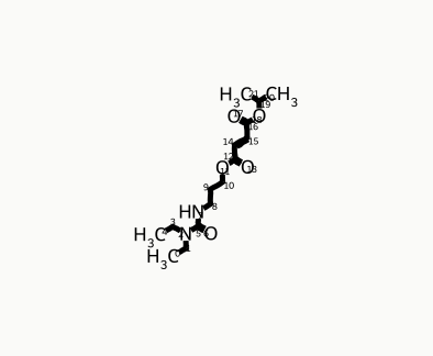 CCN(CC)C(=O)NCCCOC(=O)/C=C/C(=O)OC(C)C